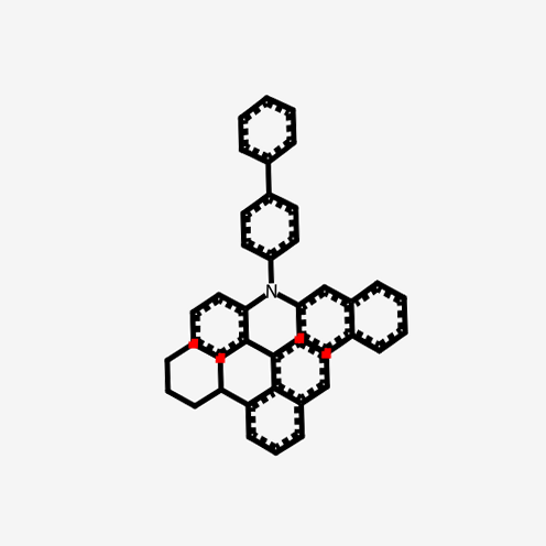 c1ccc(-c2ccc(N(c3ccc4ccccc4c3)c3ccccc3-c3cccc4cccc(C5CCCCC5)c34)cc2)cc1